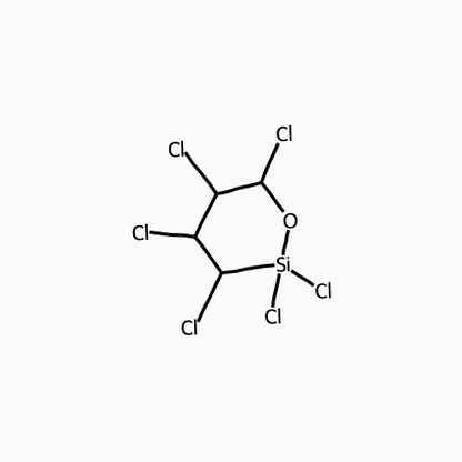 ClC1O[Si](Cl)(Cl)C(Cl)C(Cl)C1Cl